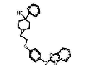 N#CC1(c2ccccc2)CCN(CCOc2ccc(Oc3nc4ccccc4o3)cc2)CC1